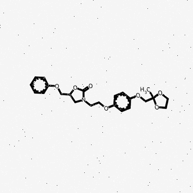 CC1(COc2ccc(OCCN3CC(COc4ccccc4)OC3=O)cc2)OCCO1